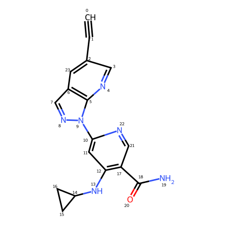 C#Cc1cnc2c(cnn2-c2cc(NC3CC3)c(C(N)=O)cn2)c1